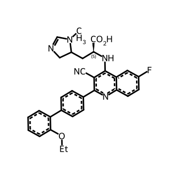 CCOc1ccccc1-c1ccc(-c2nc3ccc(F)cc3c(N[C@@H](CC3CN=CN3C)C(=O)O)c2C#N)cc1